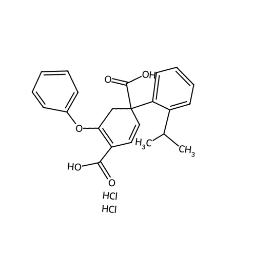 CC(C)c1ccccc1C1(C(=O)O)C=CC(C(=O)O)=C(Oc2ccccc2)C1.Cl.Cl